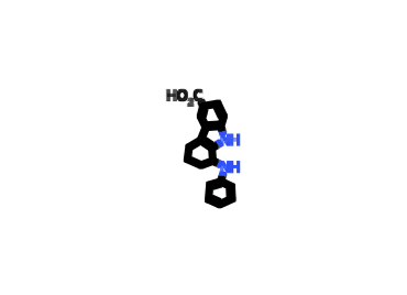 O=C(O)c1ccc2[nH]c3c(c2c1)CCCC3Nc1ccccc1